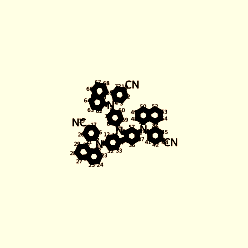 N#Cc1ccc(N(c2ccc(-n3c4cc(N(c5ccc(C#N)cc5)c5cccc6ccccc56)ccc4c4ccc(N(c5ccc(C#N)cc5)c5cccc6ccccc56)cc43)cc2)c2cccc3ccccc23)cc1